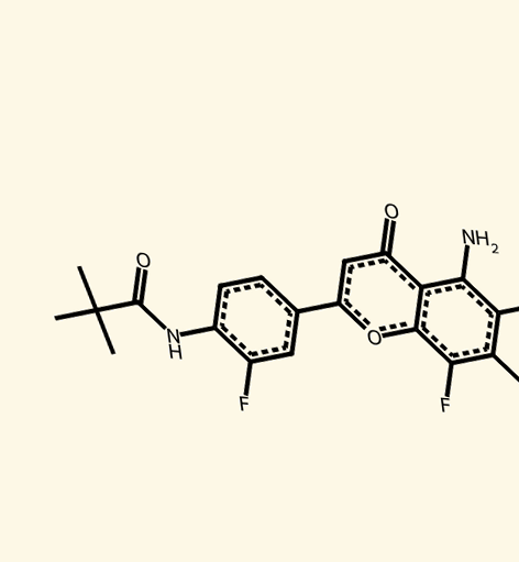 Cc1c(F)c(N)c2c(=O)cc(-c3ccc(NC(=O)C(C)(C)C)c(F)c3)oc2c1F